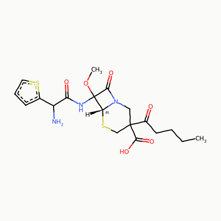 CCCCC(=O)C1(C(=O)O)CS[C@H]2N(C1)C(=O)C2(NC(=O)C(N)c1cccs1)OC